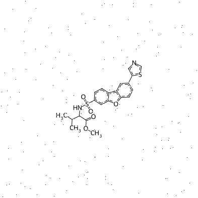 COC(=O)C(NS(=O)(=O)c1ccc2c(c1)oc1ccc(-c3cncs3)cc12)C(C)C